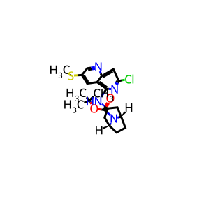 CSc1cnc2cc(Cl)nc(N[C@@H]3C[C@H]4CC[C@@H](C3)N4C(=O)OC(C)(C)C)c2c1